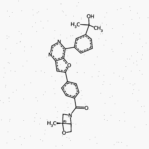 CC(C)(O)c1cccc(-c2ncnc3cc(-c4ccc(C(=O)N5C[C@@]6(C)OCC56)cc4)oc23)c1